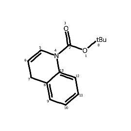 CC(C)(C)OC(=O)N1[C]=CCc2ccccc21